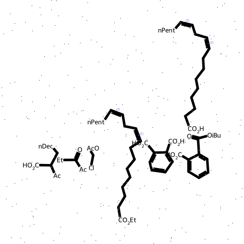 CC(=O)OCCl.CC(C)COC(=O)c1ccccc1C(=O)O.CCC(=O)C(C)=O.CCCCC/C=C\C/C=C\CCCCCCCC(=O)O.CCCCC/C=C\C/C=C\CCCCCCCC(=O)OCC.CCCCCCCCCCCC(C(C)=O)C(=O)O.O=C(O)c1ccccc1C(=O)O